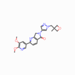 COc1cc(-c2ccc3c(n2)CN(c2cnn(CC4(C)COC4)c2)C3=O)cnc1OC